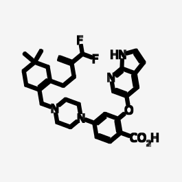 C=C(CCC1=C(CN2CCN(c3ccc(C(=O)O)c(Oc4cnc5[nH]ccc5c4)c3)CC2)CCC(C)(C)C1)C(F)F